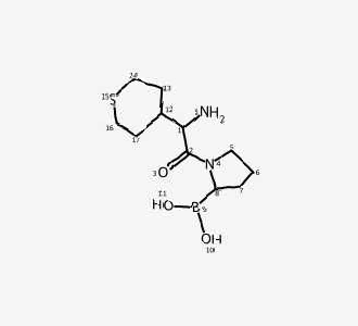 NC(C(=O)N1CCCC1B(O)O)C1CCSCC1